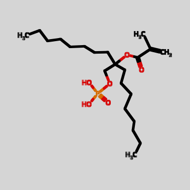 C=C(C)C(=O)OC(CCCCCCCC)(CCCCCCCC)COP(=O)(O)O